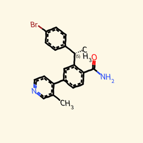 Cc1cnccc1-c1ccc(C(N)=O)c([C@@H](C)c2ccc(Br)cc2)c1